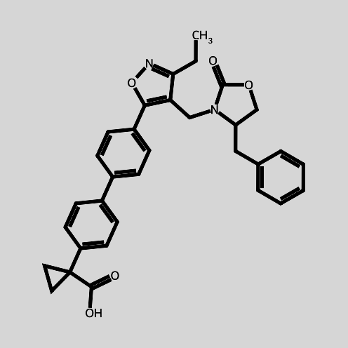 CCc1noc(-c2ccc(-c3ccc(C4(C(=O)O)CC4)cc3)cc2)c1CN1C(=O)OCC1Cc1ccccc1